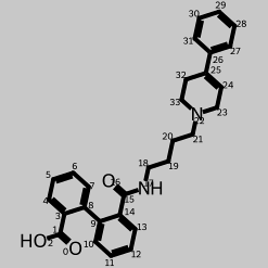 O=C(O)c1ccccc1-c1ccccc1C(=O)NCCCCN1CC=C(c2ccccc2)CC1